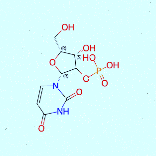 O=c1ccn([C@@H]2O[C@H](CO)[C@H](O)C2OP(=O)(O)O)c(=O)[nH]1